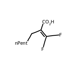 CCCCCCC(C(=O)O)=C(F)F